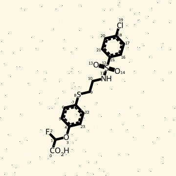 O=C(O)C(F)Oc1ccc(SCCNS(=O)(=O)c2ccc(Cl)cc2)cc1